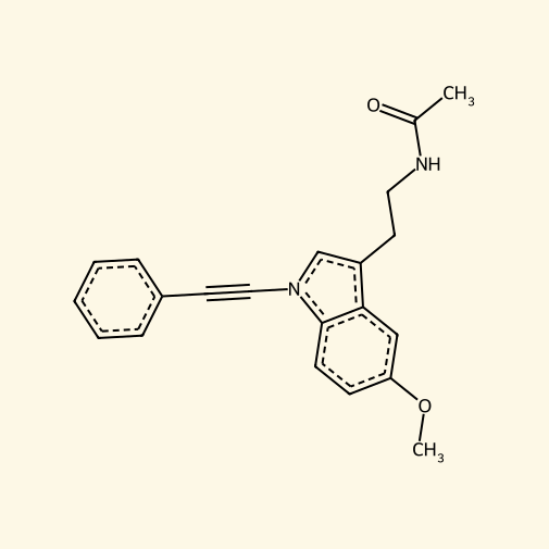 COc1ccc2c(c1)c(CCNC(C)=O)cn2C#Cc1ccccc1